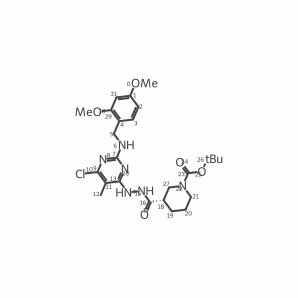 COc1ccc(CNc2nc(Cl)c(C)c(NNC(=O)[C@H]3CCCN(C(=O)OC(C)(C)C)C3)n2)c(OC)c1